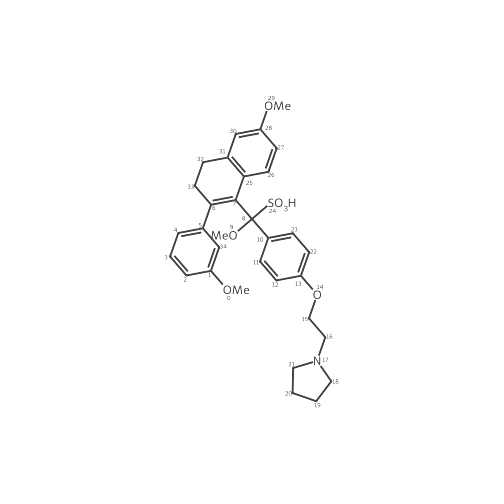 COc1cccc(C2=C(C(OC)(c3ccc(OCCN4CCCC4)cc3)S(=O)(=O)O)c3ccc(OC)cc3CC2)c1